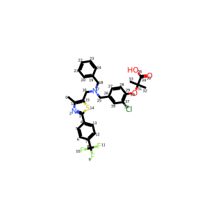 Cc1nc(-c2ccc(C(F)(F)F)cc2)sc1CN(Cc1ccccc1)Cc1ccc(OC(C)(C)C(=O)O)c(Cl)c1